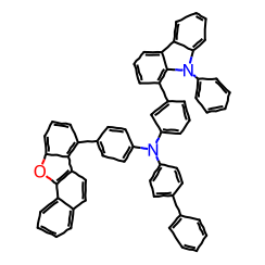 c1ccc(-c2ccc(N(c3ccc(-c4cccc5oc6c7ccccc7ccc6c45)cc3)c3cccc(-c4cccc5c6ccccc6n(-c6ccccc6)c45)c3)cc2)cc1